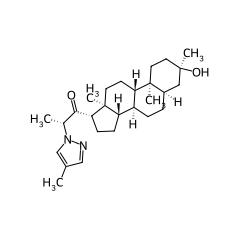 Cc1cnn([C@H](C)C(=O)[C@H]2CC[C@H]3[C@@H]4CC[C@@H]5C[C@](C)(O)CC[C@]5(C)[C@H]4CC[C@]23C)c1